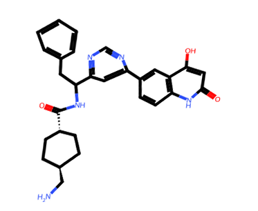 NC[C@H]1CC[C@H](C(=O)NC(Cc2ccccc2)c2cc(-c3ccc4[nH]c(=O)cc(O)c4c3)ncn2)CC1